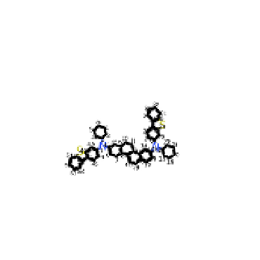 c1ccc(N(c2ccc3c(ccc4c5cc(N(c6ccccc6)c6ccc7c(c6)sc6ccccc67)ccc5ccc34)c2)c2ccc3c(c2)sc2ccccc23)cc1